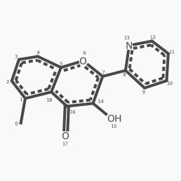 Cc1cccc2oc(-c3ccccn3)c(O)c(=O)c12